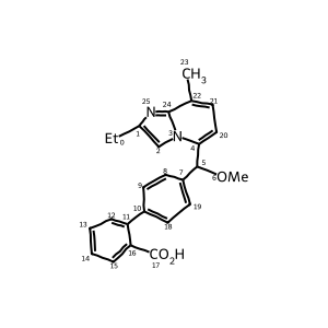 CCc1cn2c(C(OC)c3ccc(-c4ccccc4C(=O)O)cc3)ccc(C)c2n1